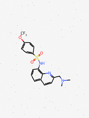 CN(C)Cc1ccc2cccc(NS(=O)(=O)c3ccc(OC(F)(F)F)cc3)c2n1